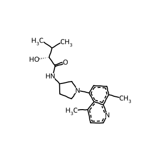 Cc1ccc(N2CCC(NC(=O)[C@H](O)C(C)C)C2)c2c(C)ccnc12